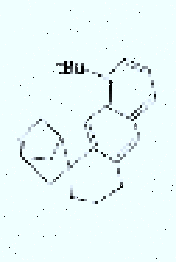 CC(C)(C)c1cccc2cc3c(cc12)C1(CCC3)CC2=CCC1C2